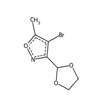 Cc1onc(C2OCCO2)c1Br